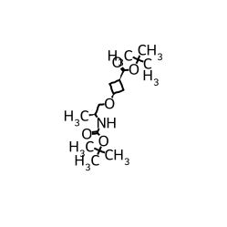 C[C@@H](CO[C@H]1C[C@@H](C(=O)OC(C)(C)C)C1)NC(=O)OC(C)(C)C